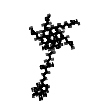 C=C1N[C@H]2CSC(CCCCC(=O)NCCCC[C@H](NC(=O)CN(CCOC)C(=O)CN(CCOC)C(=O)CN(CCCCN)C(=O)CN(CCOC)C(C)=O)C(N)=O)[C@H]2N1